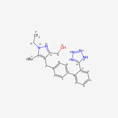 CCCCc1c(Cc2ccc(-c3ccccc3-c3nnn[nH]3)cc2)c(CO)nn1CC(F)(F)F